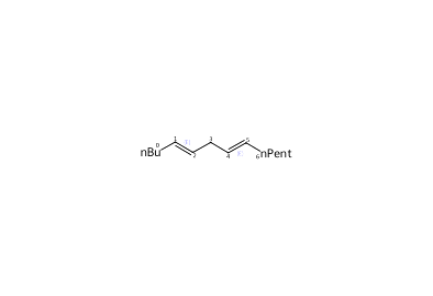 CCCC/C=C/C/C=C/CCCCC